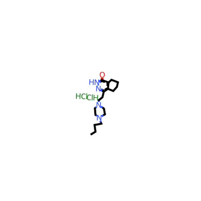 CCCCN1CCN(CCc2n[nH]c(=O)c3c2CCCC3)CC1.Cl.Cl